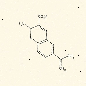 C=C(C)c1ccc2c(c1)C=C(C(=O)O)C(C(F)(F)F)S2